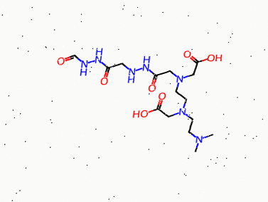 CN(C)CCN(CCN(CC(=O)O)CC(=O)NNCC(=O)NNC=O)CC(=O)O